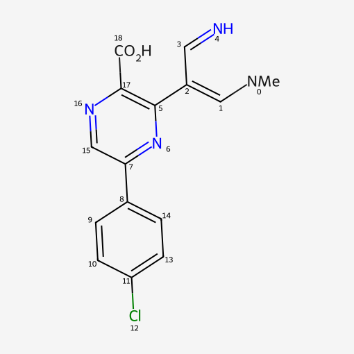 CN/C=C(\C=N)c1nc(-c2ccc(Cl)cc2)cnc1C(=O)O